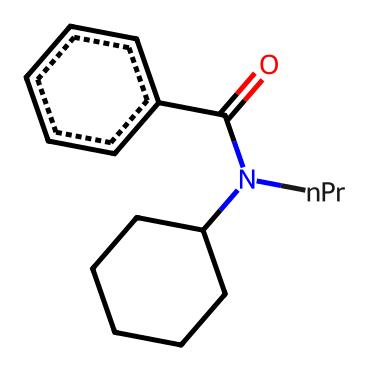 CCCN(C(=O)c1ccccc1)C1CCCCC1